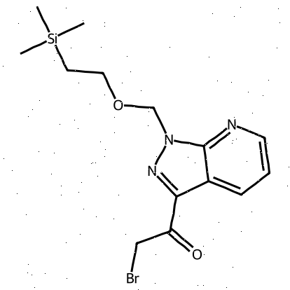 C[Si](C)(C)CCOCn1nc(C(=O)CBr)c2cccnc21